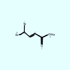 COC(=O)C=CC(Br)Br